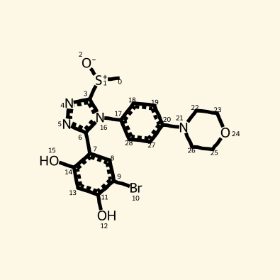 C[S+]([O-])c1nnc(-c2cc(Br)c(O)cc2O)n1-c1ccc(N2CCOCC2)cc1